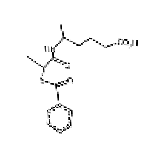 CC(CCCC(=O)O)NC(=O)C(C)SC(=O)c1ccccc1